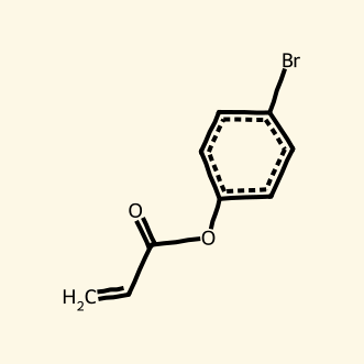 C=CC(=O)Oc1ccc(Br)cc1